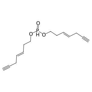 C#CCC=CCCO[PH](=O)OCCC=CCC#C